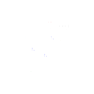 CN=c1c2c(N3CCOC(CCl)C3)c(F)cc3c(=O)c(C(=O)O)c4scc1n4c32